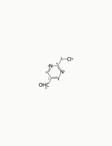 O=Cc1cnc(CCl)nc1